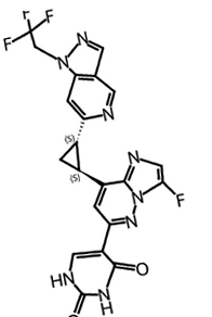 O=c1[nH]cc(-c2cc([C@H]3C[C@@H]3c3cc4c(cn3)cnn4CC(F)(F)F)c3ncc(F)n3n2)c(=O)[nH]1